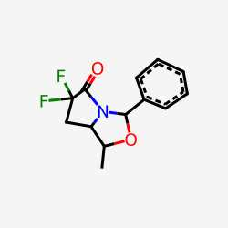 CC1OC(c2ccccc2)N2C(=O)C(F)(F)CC12